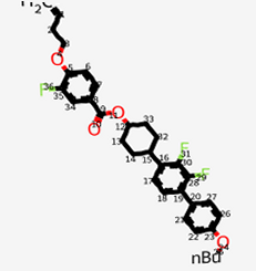 C=CCCOc1ccc(C(=O)OC2CCC(c3ccc(-c4ccc(OCCCC)cc4)c(F)c3F)CC2)cc1F